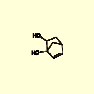 OC1CC2C=CC1(O)C2